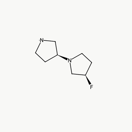 F[C@@H]1CCN([C@H]2CC[N]C2)C1